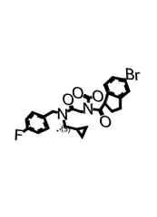 C[C@@H](C1CC1)N(Cc1ccc(F)cc1)C(=O)CN1C(=O)OC2(CCc3cc(Br)ccc32)C1=O